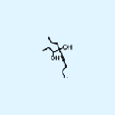 [CH2]CCC#CC(O)(CCC)C(O)CC